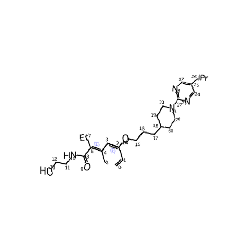 C=C/C(=C\C(C)=C(/CC)C(=O)NCCO)OCCCC1CCN(c2ncc(C(C)C)cn2)CC1